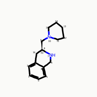 c1ccc2c(c1)CN[C@H](CN1CCCCC1)C2